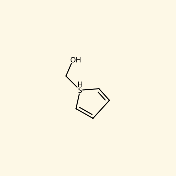 OC[SH]1C=CC=C1